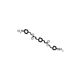 Nc1ccc(CCOC(=O)/C=C/c2ccc(/C=C/C(=O)OCCc3ccc(N)cc3)cc2)cc1